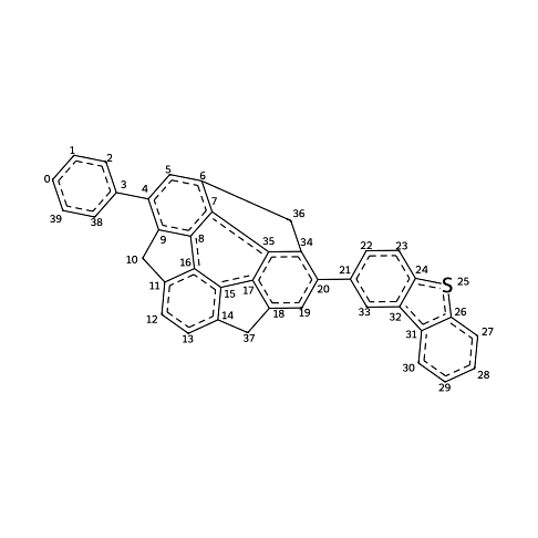 c1ccc(-c2cc3c4c5c2Cc2ccc6c(c25)c2c(cc(-c5ccc7sc8ccccc8c7c5)c(c24)C3)C6)cc1